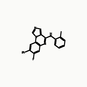 Cc1ccccc1Nc1nc2cc(F)c(C(C)C)cc2n2cncc12